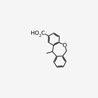 CC1c2ccccc2COc2ccc(C(=O)O)cc21